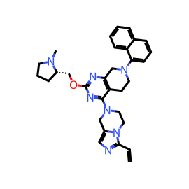 C=Cc1ncc2n1CCN(c1nc(OC[C@@H]3CCCN3C)nc3c1CCN(c1cccc4ccccc14)C3)C2